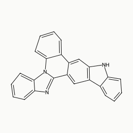 c1ccc2c(c1)nc1c3cc4c(cc3c3ccccc3n21)[nH]c1ccccc14